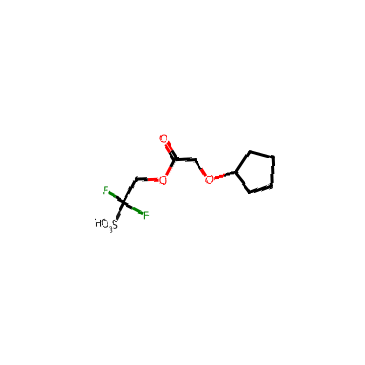 O=C(COC1CCCC1)OCC(F)(F)S(=O)(=O)O